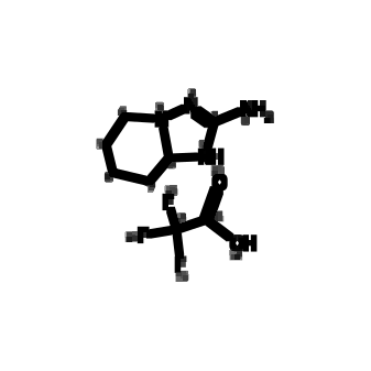 NC1=NN2CCCCC2N1.O=C(O)C(F)(F)F